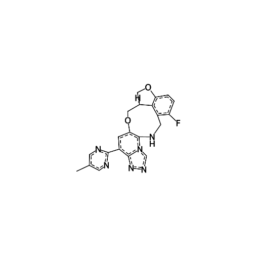 Cc1cnc(-c2cc3c(n4cnnc24)NCc2c(F)ccc4c2[C@H](CO4)CO3)nc1